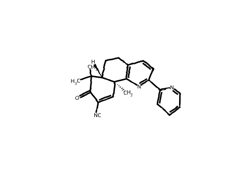 [C-]#[N+]C1=C[C@]2(C)c3nc(-c4ccccn4)ccc3CC[C@H]2C(C)(C)C1=O